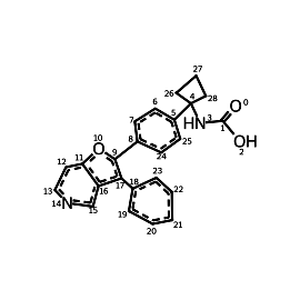 O=C(O)NC1(c2ccc(-c3oc4ccncc4c3-c3ccccc3)cc2)CCC1